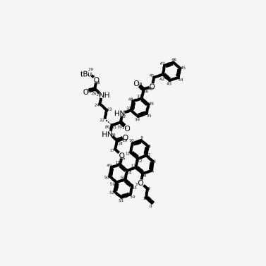 C=CCOc1ccc2ccccc2c1-c1c(OCC(=O)N[C@H](CCCNC(=O)OC(C)(C)C)C(=O)Nc2cccc(C(=O)OCc3ccccc3)c2)ccc2ccccc12